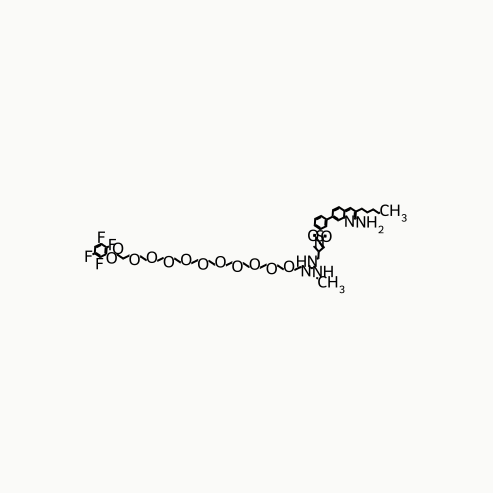 CCCCCc1cc2ccc(-c3cccc(S(=O)(=O)N4CC(CN/C(=N\CCOCCOCCOCCOCCOCCOCCOCCOCCOCCOCCC(=O)Oc5c(F)c(F)cc(F)c5F)NCC)C4)c3)cc2nc1N